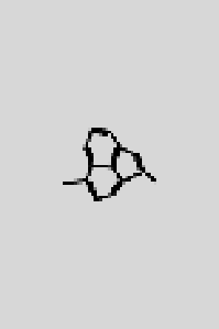 CC1=Cc2cccc3c(C)ccc1c23